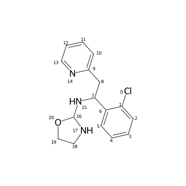 Clc1ccccc1C(Cc1ccccn1)NC1NCCO1